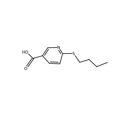 CCCCSc1ccc(C(=O)O)cn1